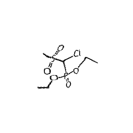 CCOP(=O)(OCC)C(Cl)S(C)(=O)=O